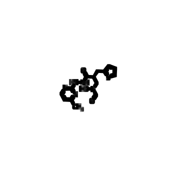 Cc1ccnc(NNC(=O)[C@@H](Cc2cccs2)CN(O)C=O)n1